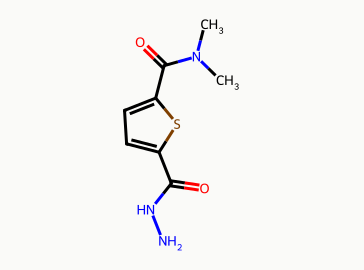 CN(C)C(=O)c1ccc(C(=O)NN)s1